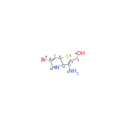 NC1=C(CO)SC2C=C(Br)C=NC12